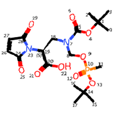 CC(C)(C)OC(=O)N(COP(C)(=O)OC(C)(C)C)C[C@@H](C(=O)O)N1C(=O)C=CC1=O